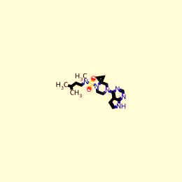 CC(C)CCN(C)S(=O)(=O)N1CCN(c2ncnc3[nH]ccc23)CC12CC2